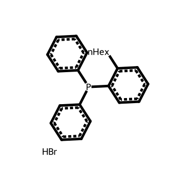 Br.CCCCCCc1ccccc1P(c1ccccc1)c1ccccc1